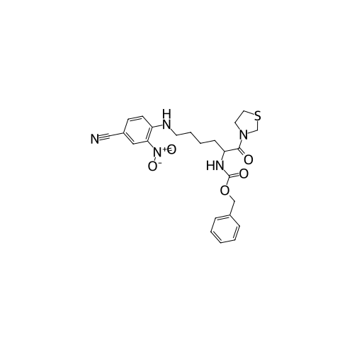 N#Cc1ccc(NCCCCC(NC(=O)OCc2ccccc2)C(=O)N2CCSC2)c([N+](=O)[O-])c1